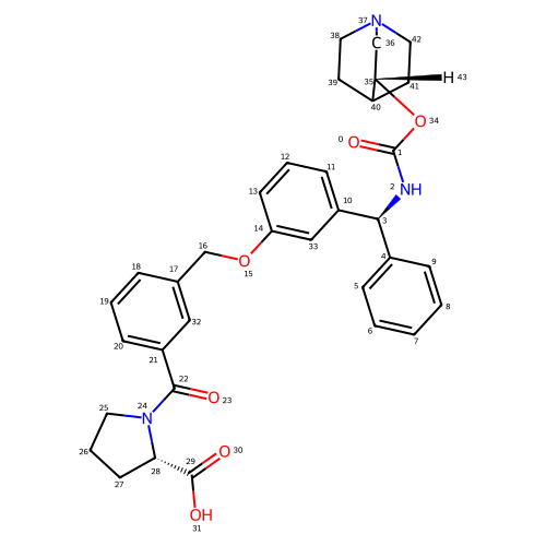 O=C(N[C@@H](c1ccccc1)c1cccc(OCc2cccc(C(=O)N3CCC[C@H]3C(=O)O)c2)c1)O[C@H]1CN2CCC1CC2